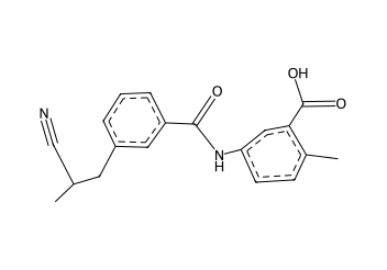 Cc1ccc(NC(=O)c2cccc(CC(C)C#N)c2)cc1C(=O)O